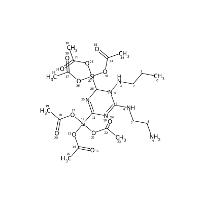 CCCNN1C(NCCN)=NC([Si](OC(C)=O)(OC(C)=O)OC(C)=O)=NC1[Si](OC(C)=O)(OC(C)=O)OC(C)=O